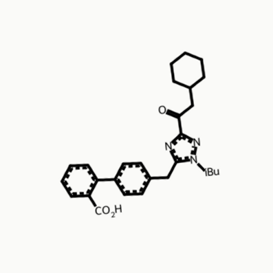 CCC(C)n1nc(C(=O)CC2CCCCC2)nc1Cc1ccc(-c2ccccc2C(=O)O)cc1